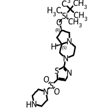 CC(C)(C)[Si](C)(C)O[C@@H]1C[C@H]2CN(c3ncc(S(=O)(=O)N4CCNCC4)s3)CCN2C1